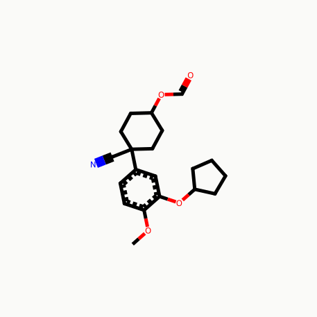 COc1ccc(C2(C#N)CCC(OC=O)CC2)cc1OC1CCCC1